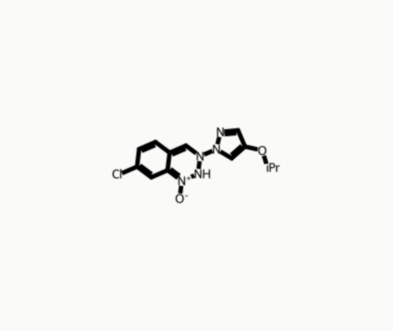 CC(C)Oc1cnn(N2C=c3ccc(Cl)cc3=[N+]([O-])N2)c1